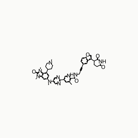 Cc1cc(-c2ncc(N(C)c3cc(C4CCN(C)CC4)c4c(c3)n(C)c(=O)n4C)cn2)cnc1C(=O)NCC#Cc1ccc2occ(C3CCC(=O)NC3=O)c2c1